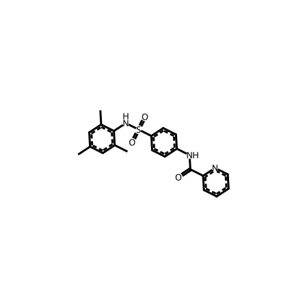 Cc1cc(C)c(NS(=O)(=O)c2ccc(NC(=O)c3ccccn3)cc2)c(C)c1